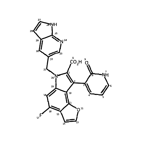 O=C(O)c1c(-c2ccc[nH]c2=O)c2c3occc3c(F)cc2n1Cc1cnc2[nH]ccc2c1